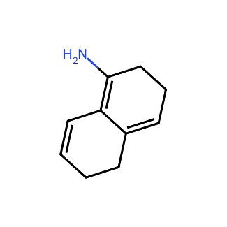 NC1=C2C=CCCC2=CCC1